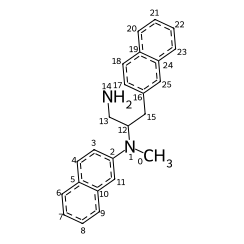 CN(c1ccc2ccccc2c1)C(CN)Cc1ccc2ccccc2c1